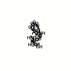 CCNC(=O)c1nnc(-c2cc(C(C)C)c(O)cc2O)n1-c1ccc(Oc2ccc(NC(=O)COCCN(C)C(=O)OC3(C)C(=O)OCC(C=O)=C3/C=C3/c4nc5ccc(O)cc5c(CC)c4CN3C)cc2)cc1